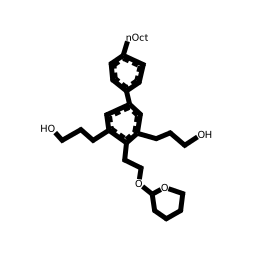 CCCCCCCCc1ccc(-c2cc(CCCO)c(CCOC3CCCCO3)c(CCCO)c2)cc1